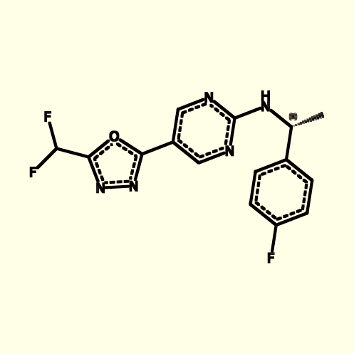 C[C@@H](Nc1ncc(-c2nnc(C(F)F)o2)cn1)c1ccc(F)cc1